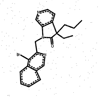 CCCC1(CC)C(=O)N(Cc2ncc3ccccc3c2Br)c2cnccc21